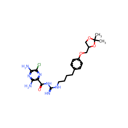 CC1(C)OCC(COc2ccc(CCCCNC(=N)NC(=O)c3nc(Cl)c(N)nc3N)cc2)O1